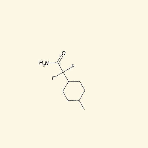 CC1CCC(C(F)(F)C(N)=O)CC1